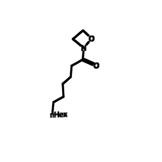 CCCCCCCCCCCC(=O)N1CCO1